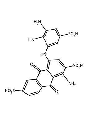 Cc1c(N)cc(S(=O)(=O)O)cc1Nc1cc(S(=O)(=O)O)c(N)c2c1C(=O)c1cc(S(=O)(=O)O)ccc1C2=O